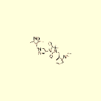 [C-]#[N+]c1ccccc1CN1C(=O)N(c2cnn(Cc3c(C)noc3C)c2)C(=O)C1(C)C